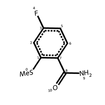 CSc1cc(F)ccc1C(N)=O